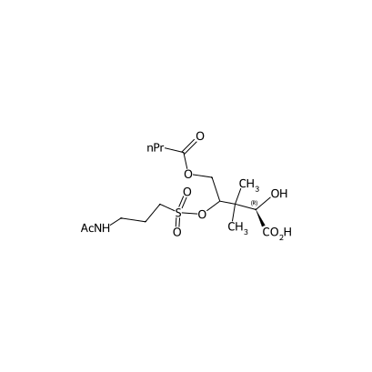 CCCC(=O)OCC(OS(=O)(=O)CCCNC(C)=O)C(C)(C)[C@@H](O)C(=O)O